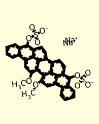 COc1cc2c3ccccc3c(OS(=O)(=O)[O-])c3ccc4c5ccc6c(OS(=O)(=O)[O-])c7ccccc7c7cc(OC)c(c1c4c32)c5c67.[Na+].[Na+]